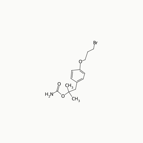 CC(C)(Cc1ccc(OCCCBr)cc1)OC(N)=O